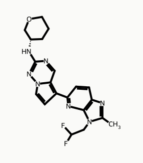 Cc1nc2ccc(-c3ccn4nc(N[C@H]5CCCOC5)ncc34)nc2n1CC(F)F